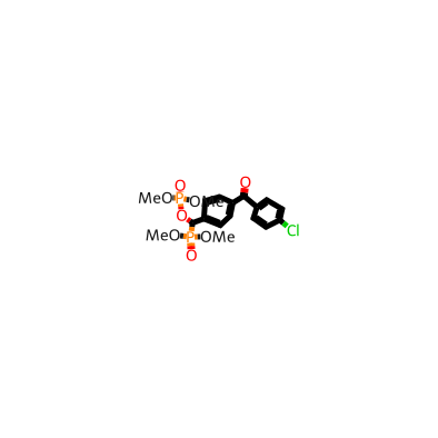 COP(=O)(OC)OC(c1ccc(C(=O)c2ccc(Cl)cc2)cc1)P(=O)(OC)OC